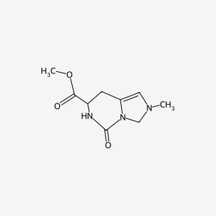 COC(=O)C1CC2=CN(C)CN2C(=O)N1